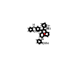 CCn1c(-c2ccccc2)c(C(=C2C=CC(=Nc3ccccc3OC)C=C2)c2ccc(Nc3ccccc3OC)cc2)c2ccccc21.Cl